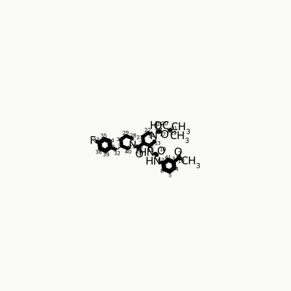 CC(=O)c1cccc(NC(=O)NC2CN(C(=O)OC(C)(C)C)CCC2C(=O)N2CCC[C@@H](Cc3ccc(F)cc3)C2)c1